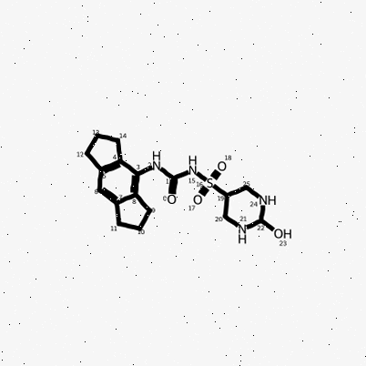 O=C(Nc1c2c(cc3c1CCC3)CCC2)NS(=O)(=O)C1CNC(O)NC1